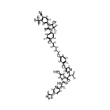 Cc1ncsc1-c1ccc([C@H](C)NC(=O)[C@@H]2C[C@@H](O)CN2C(=O)[C@@H](C(C)C)n2cc(Oc3cccc(OCCCCCOc4ccc(N5C(=S)N(c6ccc(C#N)c(C(F)(F)F)c6)C(=O)C5(C)C)cc4)c3)cn2)nc1